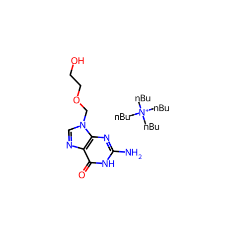 CCCC[N+](CCCC)(CCCC)CCCC.Nc1nc2c(ncn2COCCO)c(=O)[nH]1